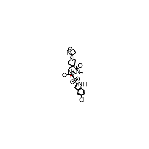 CN1CC23CN(S(=O)(=O)c4cc5cc(Cl)ccc5[nH]4)CC(=O)N2CC2(CCN(C4=NOCC4)CC2)N3C1=O